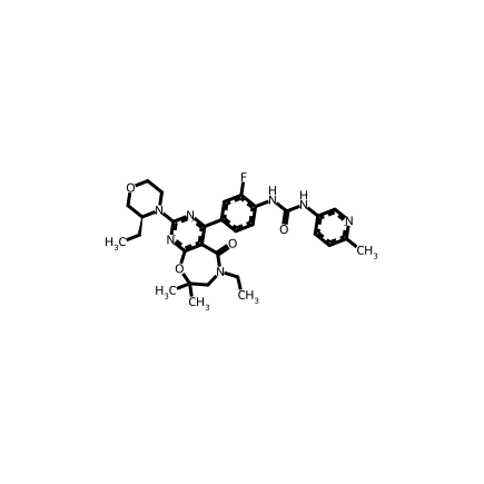 CC[C@H]1COCCN1c1nc2c(c(-c3ccc(NC(=O)Nc4ccc(C)nc4)c(F)c3)n1)C(=O)N(CC)CC(C)(C)O2